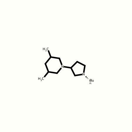 CC[C@@H](C)N1CCC(N2CC(C)CC(C)C2)C1